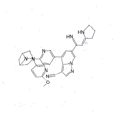 COc1ccc(CN2C3CC2CN(c2ccc(-c4cc(C(=N)/C=C5/CCCN5)cn5ncc(C#N)c45)cn2)C3)cn1